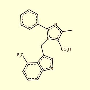 Cc1nc(-c2cccnc2)n(Cc2csc3cccc(C(F)(F)F)c23)c1C(=O)O